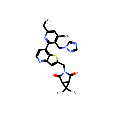 CCc1cc(C)c(Cn2cncn2)c(-c2ccnc3cc(CN4C(=O)C5C(C4=O)C5(C)C)sc23)n1